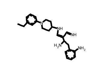 CCc1cccc(N2CCC(N/C=C(\C=N)C(N)Cc3ccccc3N)CC2)c1